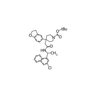 CC(NC(=O)CC1(c2ccc3c(c2)CCO3)CCN(C(=O)OC(C)(C)C)CC1)c1cc(Cl)cc2ccccc12